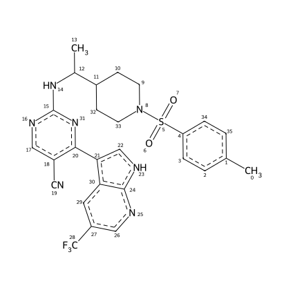 Cc1ccc(S(=O)(=O)N2CCC(C(C)Nc3ncc(C#N)c(-c4c[nH]c5ncc(C(F)(F)F)cc45)n3)CC2)cc1